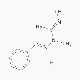 CN=C(S)N(C)N=Cc1ccccc1.I